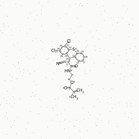 C=C(C)C(=O)OCCNC(=O)C(C#N)=C1c2ccccc2Sc2c(Cl)cc(Cl)cc21